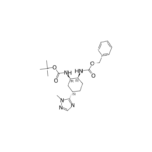 Cn1ncnc1[C@H]1CC[C@H](NC(=O)OCc2ccccc2)[C@H](NC(=O)OC(C)(C)C)C1